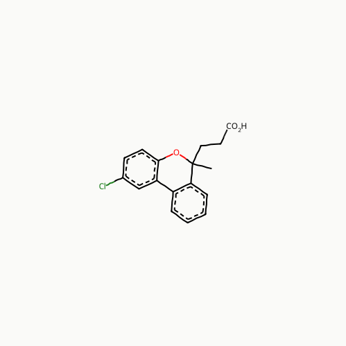 CC1(CCC(=O)O)Oc2ccc(Cl)cc2-c2ccccc21